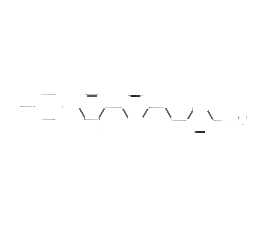 COc1ccc(/C=C/c2ccc(-c3ccc(C4CCC(CO)CC4)c(F)c3F)cc2)c(F)c1